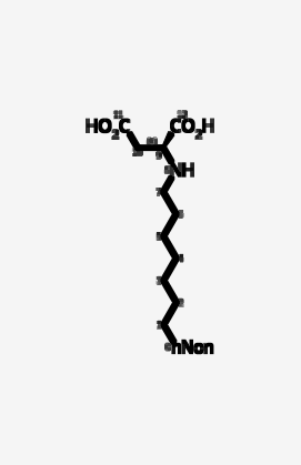 CCCCCCCCCCCCCCCCN[C@@H](CC(=O)O)C(=O)O